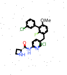 COc1ccc(Cc2ccc(NC(=O)[C@H]3CCN3)nc2)c(F)c1-c1cccc(Cl)c1.Cl